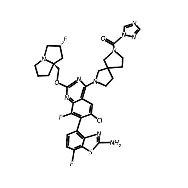 Nc1nc2c(-c3c(Cl)cc4c(N5CCC6(CCN(C(=O)n7cncn7)C6)C5)nc(OC[C@@]56CCCN5C[C@H](F)C6)nc4c3F)ccc(F)c2s1